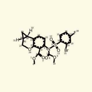 COC(=O)c1c(N(C(=O)OC)S(=O)(=O)c2ccc(F)cc2Br)ccc2c1OC[C@@H]1C[C@H]21